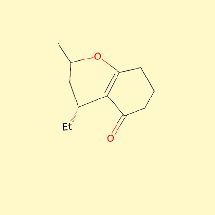 CC[C@@H]1CC(C)OC2=C1C(=O)CCC2